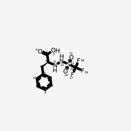 O=C(O)[C@H](Cc1ccccc1)NNS(=O)(=O)C(F)(F)F